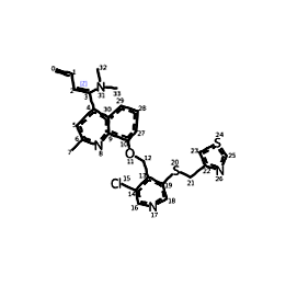 C=C/C=C(/c1cc(C)nc2c(OCc3c(Cl)cncc3SCc3cscn3)cccc12)N(C)C